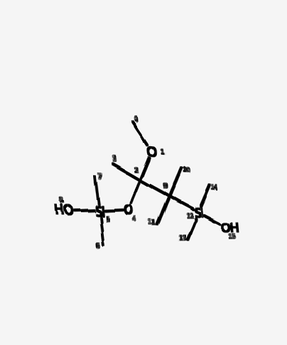 COC(C)(O[Si](C)(C)O)C(C)(C)[Si](C)(C)O